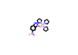 O=[N+]([O-])c1ccc2nnn(O[PH](N3CCCC3)(N3CCCC3)N3CCCC3)c2c1